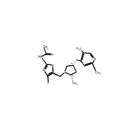 CC(=O)Nc1nc(F)c(CN2C[C@H](Oc3cc(C)ncc3C)C[C@@H]2C)s1